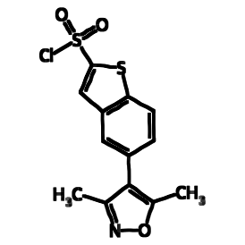 Cc1noc(C)c1-c1ccc2sc(S(=O)(=O)Cl)cc2c1